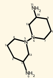 NC1CCCN(N2CCCC(N)C2)C1